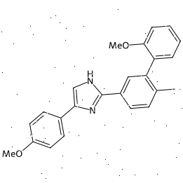 COc1ccc(-c2c[nH]c(-c3ccc(C)c(-c4ccccc4OC)c3)n2)cc1